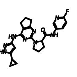 O=C(Nc1ccc(F)nc1)C1CCCN1c1nc2c(c(Nc3cc(C4CC4)[nH]n3)n1)CCC2